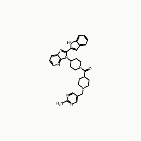 Nc1ncc(CN2CCC(C(=O)N3CCC(n4c(-c5cc6ccccc6[nH]5)nc5cccnc54)CC3)CC2)cn1